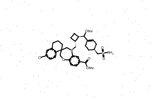 COC(=O)c1ccc2c(c1)N(C[C@@H]1CC[C@H]1C(OC)C1=CC[C@@H](CS(N)(=O)=O)CC1)CC1(CCCc3cc(Cl)ccc31)CO2